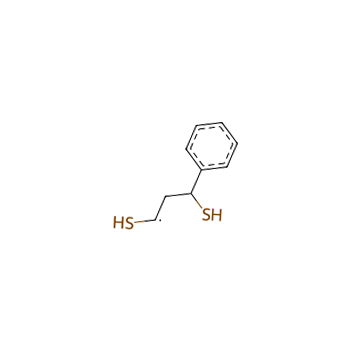 S[CH]CC(S)c1ccccc1